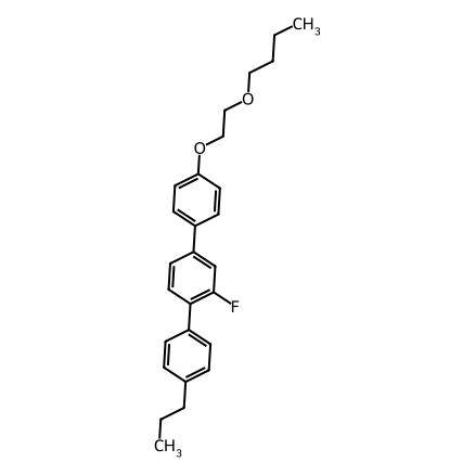 CCCCOCCOc1ccc(-c2ccc(-c3ccc(CCC)cc3)c(F)c2)cc1